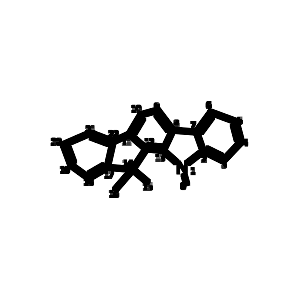 Cn1c2ccccc2c2ccc3c(c21)C(C)(C)c1ccccc1-3